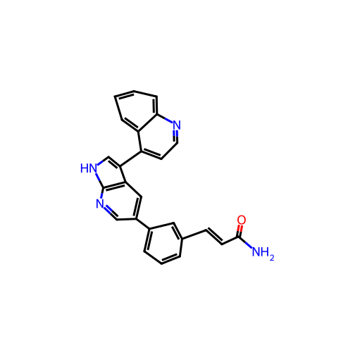 NC(=O)C=Cc1cccc(-c2cnc3[nH]cc(-c4ccnc5ccccc45)c3c2)c1